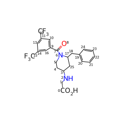 O=C(O)CNC1CCN(C(=O)c2cc(C(F)(F)F)cc(C(F)(F)F)c2)C(Cc2ccccc2)C1